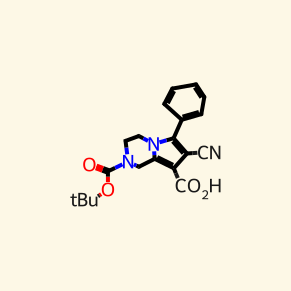 CC(C)(C)OC(=O)N1CCn2c(c(C(=O)O)c(C#N)c2-c2ccccc2)C1